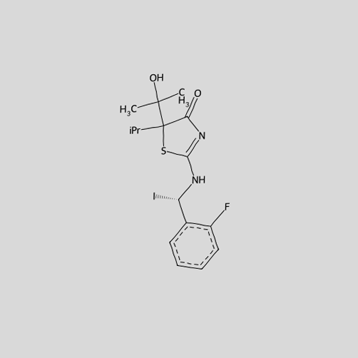 CC(C)C1(C(C)(C)O)SC(N[C@@H](I)c2ccccc2F)=NC1=O